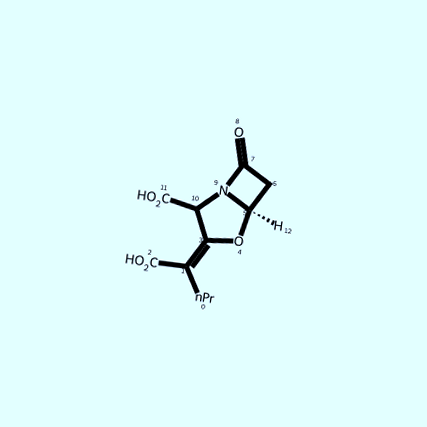 CCCC(C(=O)O)=C1O[C@@H]2CC(=O)N2C1C(=O)O